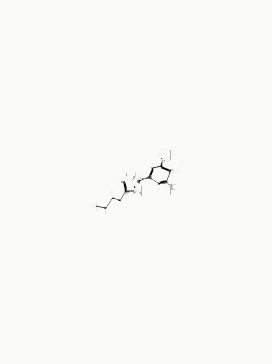 Fc1cc(-c2nc(CCCI)co2)cc(C(F)(F)F)c1